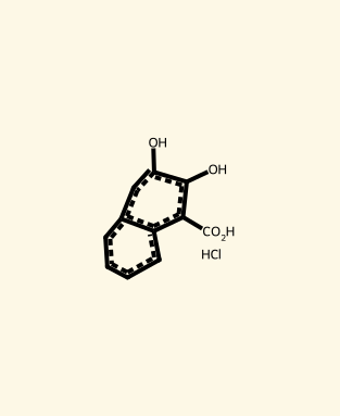 Cl.O=C(O)c1c(O)c(O)cc2ccccc12